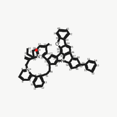 C=C1C[n+]2ccccc2-c2ccccc2CCc2cc3c(cc2-c2cc(C)cc[n+]2C1(CC)CC)c1c2oc4ccccc4c2cc2c4cc(-c5ccccc5)ccc4n3c21